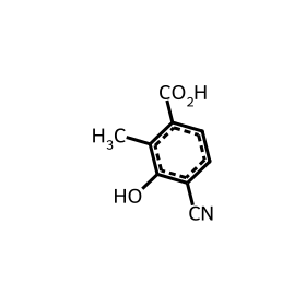 Cc1c(C(=O)O)ccc(C#N)c1O